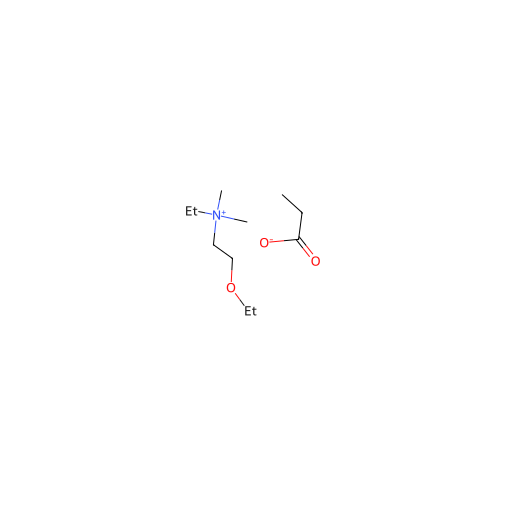 CCC(=O)[O-].CCOCC[N+](C)(C)CC